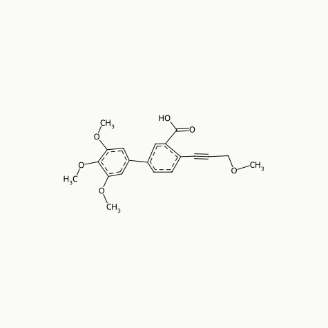 COCC#Cc1ccc(-c2cc(OC)c(OC)c(OC)c2)cc1C(=O)O